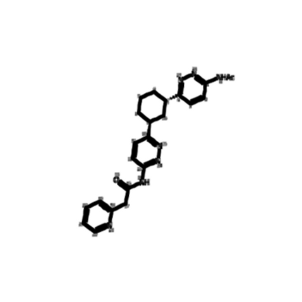 CC(=O)Nc1ccc([C@H]2CCC[C@H](c3ccc(NC(=O)Cc4ccccn4)nn3)C2)nn1